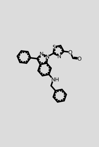 O=COc1csc(-n2nc(-c3ccccc3)c3ccc(NCc4ccccc4)cc32)n1